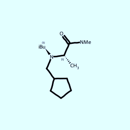 CC[C@H](C)N(CC1CCCC1)[C@@H](C)C(=O)NC